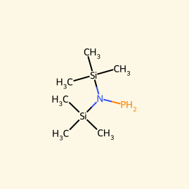 C[Si](C)(C)N(P)[Si](C)(C)C